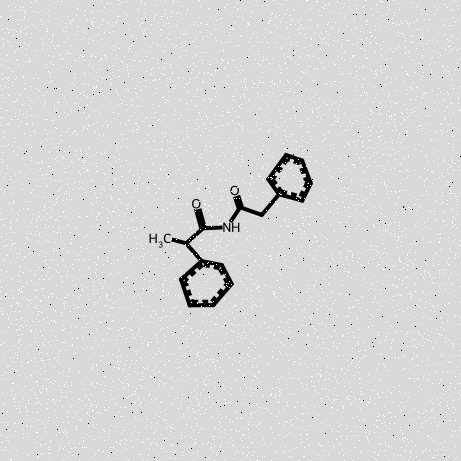 CC(C(=O)NC(=O)Cc1ccccc1)c1ccccc1